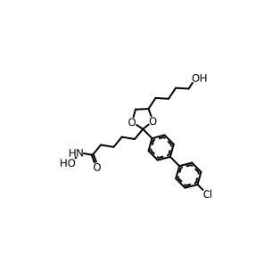 O=C(CCCCC1(c2ccc(-c3ccc(Cl)cc3)cc2)OCC(CCCCO)O1)NO